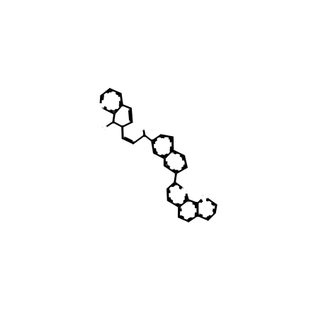 CC(/C=C\C1C=Cc2cccnc2C1N)c1ccc2ccc(-c3ccc4ccc5cccnc5c4n3)cc2c1